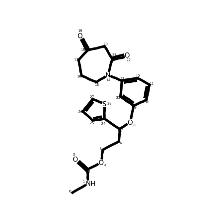 CNC(=O)OCCC(Oc1cccc(N2CCCC(=O)CC2=O)c1)c1cccs1